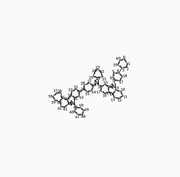 c1ccc(-c2ccc(-n3c4ccccc4c4ccc(N(c5ccccc5)c5ccc(-c6ccc7c8c9ccccc9ccc8n(-c8ccccc8)c7c6)cc5)cc43)cc2)cc1